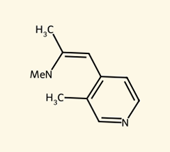 CN/C(C)=C\c1ccncc1C